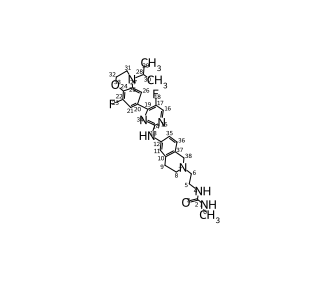 CNC(=O)NCCN1CCc2cc(Nc3ncc(F)c(-c4cc(F)c5c(c4)N(C(C)C)CCO5)n3)ccc2C1